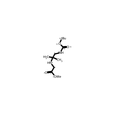 COC(=O)CNC(C)(C)CNC(=O)OC(C)(C)C